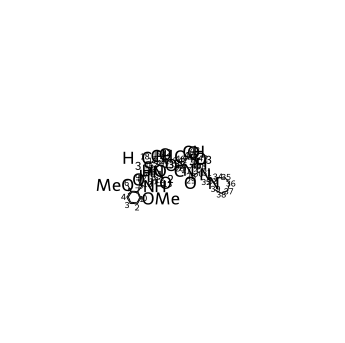 COc1cccc(OC)c1C(=O)N[C@@H]1C(=O)N2[C@@H]1SC(C)(C)[C@@H]2C(=O)OC[C@@]1(C(=O)O)N2C(=O)[C@@H](N=CN3CCCCCC3)[C@H]2S(=O)(=O)C1(C)C